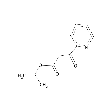 CC(C)OC(=O)CC(=O)c1ncccn1